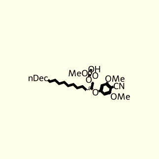 CCCCCCCCCCCCCCCCCCC[C@H](COP(=O)(O)OC)Oc1cc(OC)c(C#N)c(OC)c1